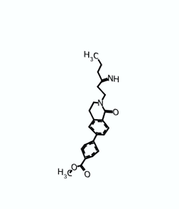 CCCC(=N)CCN1CCc2cc(-c3ccc(C(=O)OC)cc3)ccc2C1=O